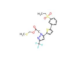 CCS(=O)(=O)c1cccc(-c2ccc(-c3cc(C(F)(F)F)nn3CC(=O)OCSC)s2)c1